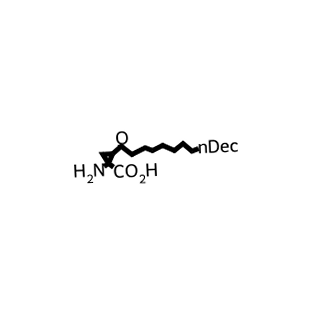 CCCCCCCCCCCCCCCCCC(=O)C1CC1(N)C(=O)O